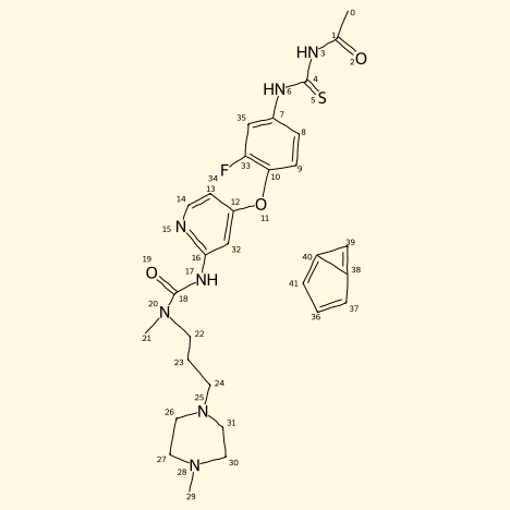 CC(=O)NC(=S)Nc1ccc(Oc2ccnc(NC(=O)N(C)CCCN3CCN(C)CC3)c2)c(F)c1.c1cc2cc-2c1